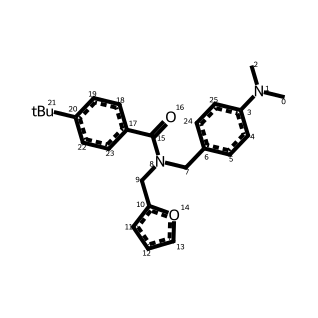 CN(C)c1ccc(CN(Cc2ccco2)C(=O)c2ccc(C(C)(C)C)cc2)cc1